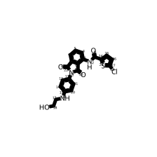 O=C(Nc1cccc2c1C(=O)N(c1ccc(NCCO)cc1)C2=O)c1ccc(Cl)s1